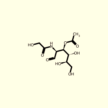 CC(=O)O[C@@H]([C@H](O)[C@H](O)CO)[C@@H](C=O)NC(=O)CO